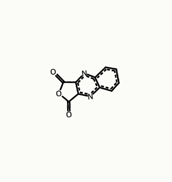 O=C1OC(=O)c2nc3ccccc3nc21